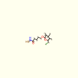 CC1C(CF)OC(OCCCCC(=O)NS)C(C)C1C